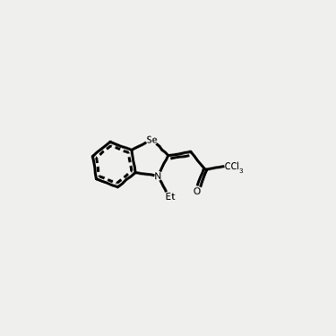 CCN1C(=CC(=O)C(Cl)(Cl)Cl)[Se]c2ccccc21